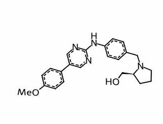 COc1ccc(-c2cnc(Nc3ccc(CN4CCC[C@H]4CO)cc3)nc2)cc1